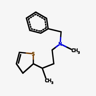 CC(CCN(C)Cc1ccccc1)C1CC=CS1